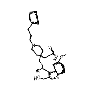 COc1ccc2ncc(CO)c(C(O)CCC3(CC(=O)O)CCN(CCCc4ccccc4)CC3)c2c1